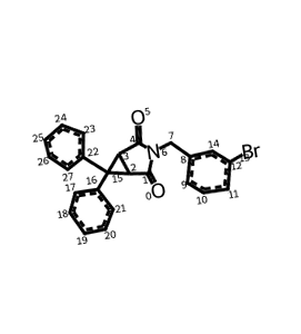 O=C1C2C(C(=O)N1Cc1cccc(Br)c1)C2(c1ccccc1)c1ccccc1